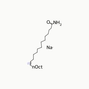 CCCCCCCC/C=C\CCCCCCCCCCCC(N)=O.[Na]